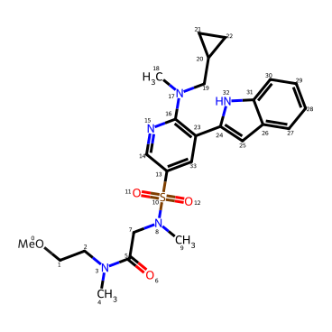 COCCN(C)C(=O)CN(C)S(=O)(=O)c1cnc(N(C)CC2CC2)c(-c2cc3ccccc3[nH]2)c1